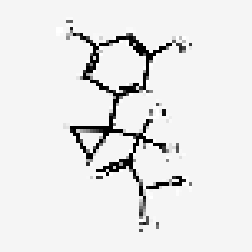 CN(C)C(=O)C(C)(N)C1(c2cc(C(F)(F)F)cc(C(F)(F)F)c2)CC1